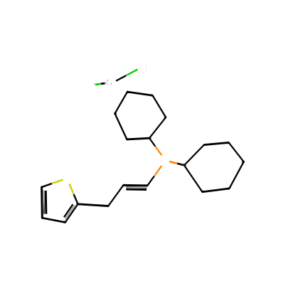 C(=CP(C1CCCCC1)C1CCCCC1)Cc1cccs1.[Cl][Ni][Cl]